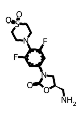 NC[C@@H]1CN(c2cc(F)c(N3CCS(=O)(=O)CC3)c(F)c2)C(=O)O1